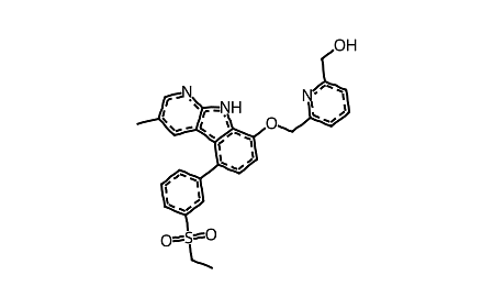 CCS(=O)(=O)c1cccc(-c2ccc(OCc3cccc(CO)n3)c3[nH]c4ncc(C)cc4c23)c1